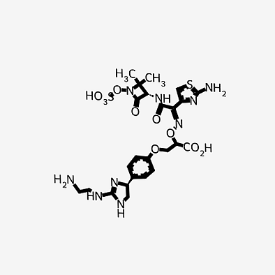 CC1(C)[C@H](NC(=O)/C(=N\OC(COc2ccc([C@H]3CNC(NCCN)=N3)cc2)C(=O)O)c2csc(N)n2)C(=O)N1OS(=O)(=O)O